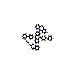 C=CCCC1=CN(c2ccc3c(-c4ccc(-c5ccccc5)cc4)c4cc(N5c6ccccc6CCc6ccccc65)ccc4c(-c4ccc(-c5ccccc5)cc4)c3c2)c2ccccc2CC1